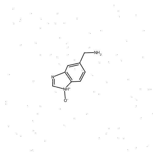 NCc1ccc2c(c1)N=C[NH+]2[O-]